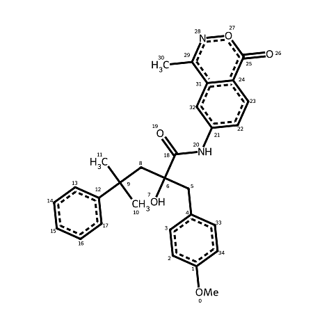 COc1ccc(CC(O)(CC(C)(C)c2ccccc2)C(=O)Nc2ccc3c(=O)onc(C)c3c2)cc1